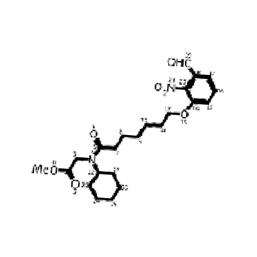 COC(=O)CN(C(=O)CCCCCCOc1cccc(C=O)c1[N+](=O)[O-])C1CCCCC1